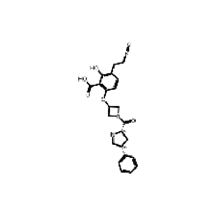 O=BCCc1ccc(OC2CN(C(=O)[C@@H]3C[C@H](c4ccccc4)CN3)C2)c(C(=O)O)c1O